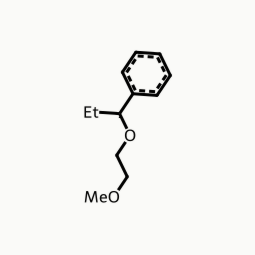 CC[C](OCCOC)c1ccccc1